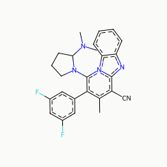 Cc1c(-c2cc(F)cc(F)c2)c(N2CCCC2N(C)C)n2c(nc3ccccc32)c1C#N